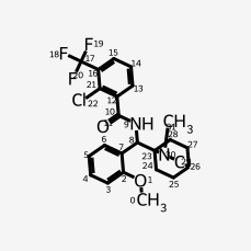 COc1ccccc1C(NC(=O)c1cccc(C(F)(F)F)c1Cl)C12CCC(CC1)CN2C